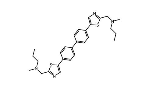 CCCN(C)Cc1ncc(-c2ccc(-c3ccc(-c4cnc(CN(C)CCC)s4)cc3)cc2)s1